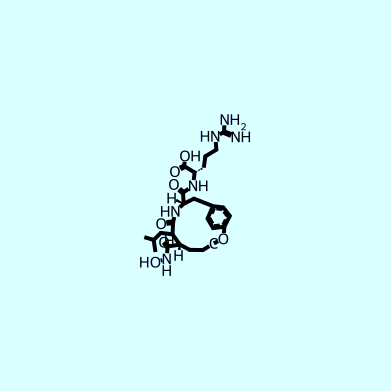 CC(C)C[C@H]1C(=O)N[C@H](C(=O)N[C@@H](CCCNC(=N)N)C(=O)O)Cc2ccc(cc2)OCCC[C@@H]1C(=O)NO